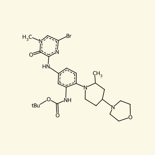 CC1CC(N2CCOCC2)CCN1c1ccc(Nc2nc(Br)cn(C)c2=O)cc1NC(=O)OC(C)(C)C